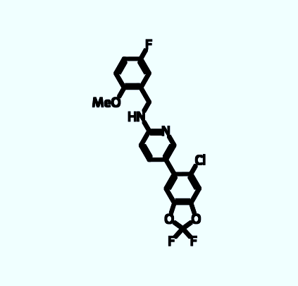 COc1ccc(F)cc1CNc1ccc(-c2cc3c(cc2Cl)OC(F)(F)O3)cn1